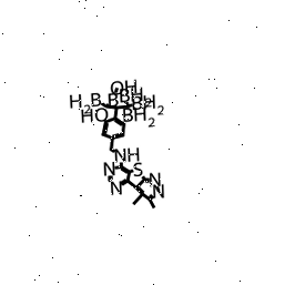 BC(B)(B)C1(c2ccc(CNc3ncnc4c3sc3nnc(C)c(C)c34)cc2)B(O)C1(B)O